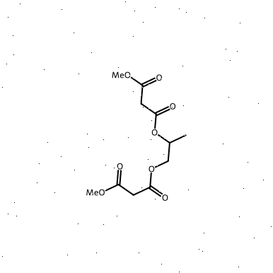 COC(=O)CC(=O)OCC(C)OC(=O)CC(=O)OC